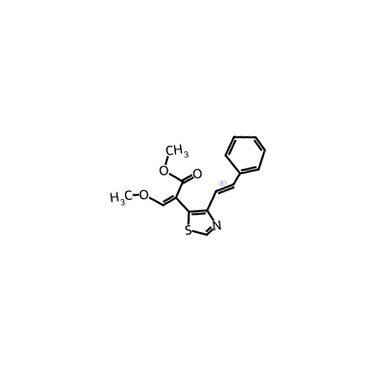 COC=C(C(=O)OC)c1scnc1/C=C/c1ccccc1